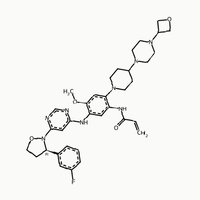 C=CC(=O)Nc1cc(Nc2cc(N3OCC[C@@H]3c3cccc(F)c3)ncn2)c(OC)cc1N1CCC(N2CCN(C3COC3)CC2)CC1